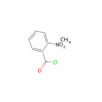 C.O=C(Cl)c1ccccc1[N+](=O)[O-]